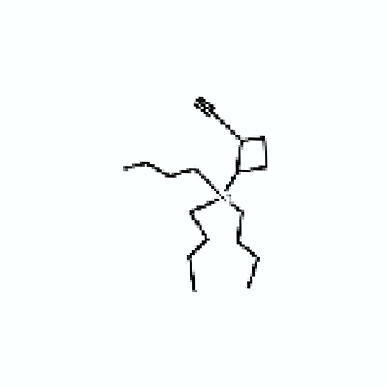 C#CC1CC[CH]1[Sn]([CH2]CCC)([CH2]CCC)[CH2]CCC